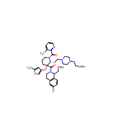 COCCN1CCN(CC[C@H]2N(C(=O)c3ncccc3C(F)(F)F)CCC[C@@]2(Oc2csc(C(F)(F)F)c2)C(=O)N2CCc3cc(Cl)ccc3C2COC)CC1